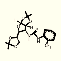 CC1(C)O[C@H]2O[C@H]([C@H]3COC(C)(C)O3)[C@H](NC(=S)Nc3ccccc3C(F)(F)F)[C@H]2O1